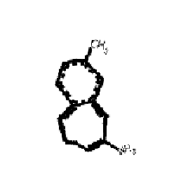 Cc1ccc2c(c1)=CC(N)=CCC=2